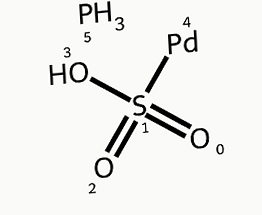 O=[S](=O)(O)[Pd].P